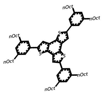 CCCCCCCCc1cc(CCCCCCCC)cc(-c2cc3c(s2)c2cc(-c4cc(CCCCCCCC)cc(CCCCCCCC)c4)sc2c2cc(-c4cc(CCCCCCCC)cc(CCCCCCCC)c4)sc32)c1